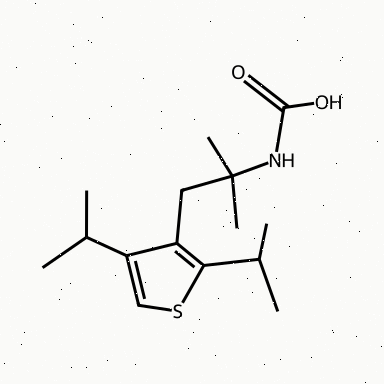 CC(C)c1csc(C(C)C)c1CC(C)(C)NC(=O)O